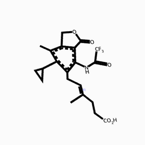 C/C(=C\Cc1c(NC(=O)C(F)(F)F)c2c(c(C)c1C1CC1)COC2=O)CCC(=O)O